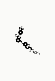 CCOC(=O)CC1CCc2cc(SCc3cccc4c3CN(c3ccc(C(F)(F)F)cc3)C4=O)ccc2O1